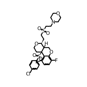 O=S(=O)(CC[C@@H]1OCC[C@@]2(S(=O)(=O)c3ccc(Cl)cc3)c3c(F)ccc(F)c3OC[C@@H]12)CCN1CCOCC1